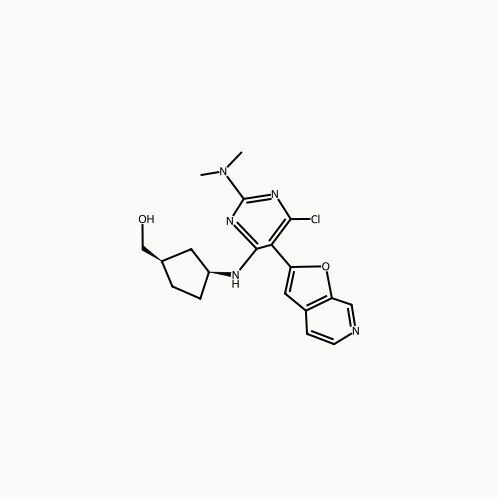 CN(C)c1nc(Cl)c(-c2cc3ccncc3o2)c(N[C@H]2CC[C@@H](CO)C2)n1